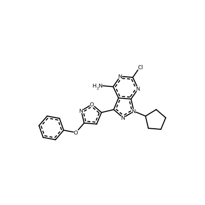 Nc1nc(Cl)nc2c1c(-c1cc(Oc3ccccc3)no1)nn2C1CCCC1